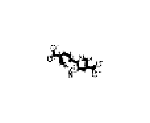 O=C([O-])c1ccc(-c2ccc(C(=O)[O-])cn2)nc1.[K+].[K+]